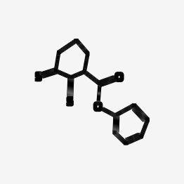 O=C(Oc1ccccc1)C1CCCC(=S)C1=S